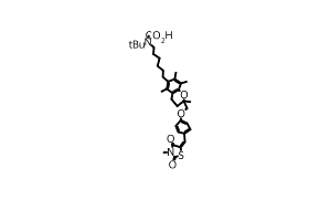 Cc1c(C)c2c(c(C)c1CCCCCCN(C(=O)O)C(C)(C)C)CCC(C)(COc1ccc(C=C3SC(=O)N(C)C3=O)cc1)O2